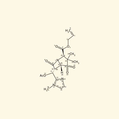 C=CCOC(=O)[C@@H]1N2C(=O)[C@@H](C(OC(C)=O)c3nccn3C)[C@H]2S(=O)(=O)C1(C)C